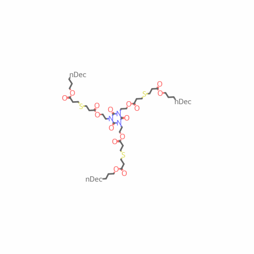 CCCCCCCCCCCCCOC(=O)CCSCCC(=O)OCCn1c(=O)n(CCOC(=O)CCSCCC(=O)OCCCCCCCCCCCCC)c(=O)n(CCOC(=O)CCSCCC(=O)OCCCCCCCCCCCCC)c1=O